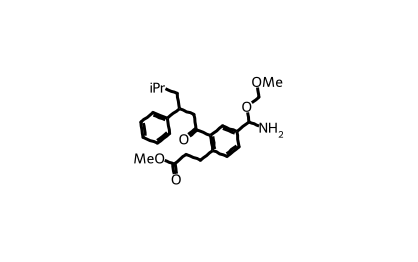 COCOC(N)c1ccc(CCC(=O)OC)c(C(=O)CC(CC(C)C)c2ccccc2)c1